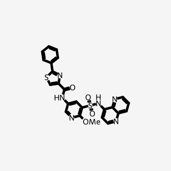 COc1ncc(NC(=O)c2csc(-c3ccccc3)n2)cc1S(=O)(=O)Nc1ccnc2cccnc12